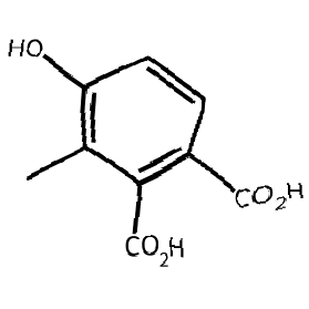 Cc1c(O)ccc(C(=O)O)c1C(=O)O